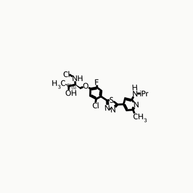 Cc1cc(-c2nnc(-c3cc(F)c(OC[C@H](NCl)[C@@H](C)O)cc3Cl)s2)cc(NC(C)C)n1